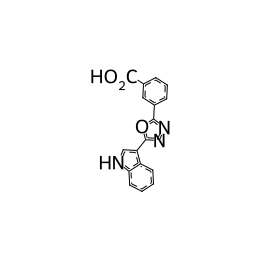 O=C(O)c1cccc(-c2nnc(-c3c[nH]c4ccccc34)o2)c1